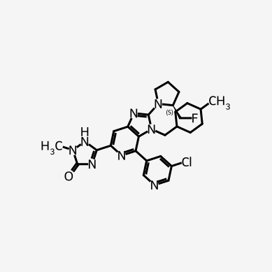 CC1CCC(Cn2c(N3CCC[C@H]3CF)nc3cc(-c4nc(=O)n(C)[nH]4)nc(-c4cncc(Cl)c4)c32)CC1